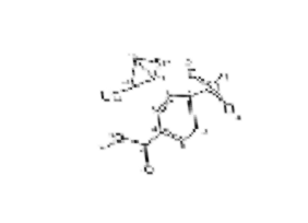 COC(=O)c1ccc(S(C)(=O)=O)cc1.ClC1C2SC12